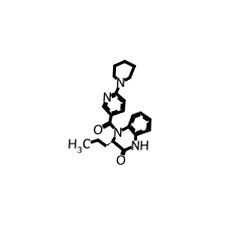 CCC[C@H]1C(=O)Nc2ccccc2N1C(=O)c1ccc(N2CCCCC2)nc1